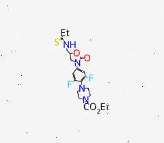 CCOC(=O)N1CCN(c2c(F)cc(N3CC(CNC(=S)CC)OC3=O)cc2F)CC1